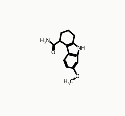 COc1ccc2c3c([nH]c2c1)CCCC3C(N)=O